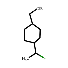 CC(F)C1CCC(CC(C)(C)C)CC1